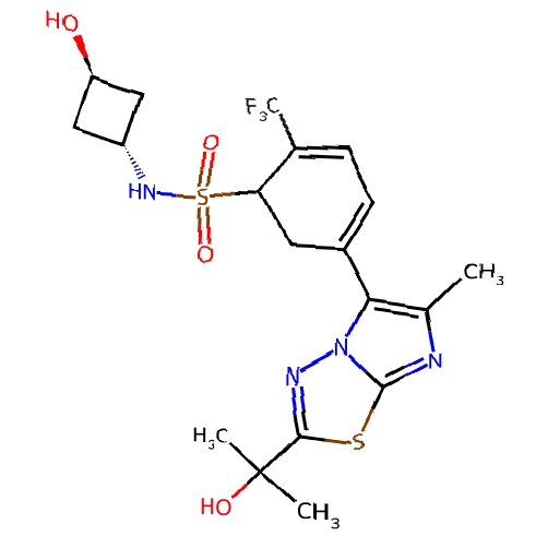 Cc1nc2sc(C(C)(C)O)nn2c1C1=CC=C(C(F)(F)F)C(S(=O)(=O)N[C@H]2C[C@H](O)C2)C1